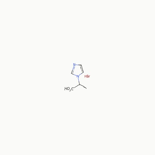 Br.CC(C(=O)O)n1ccnc1